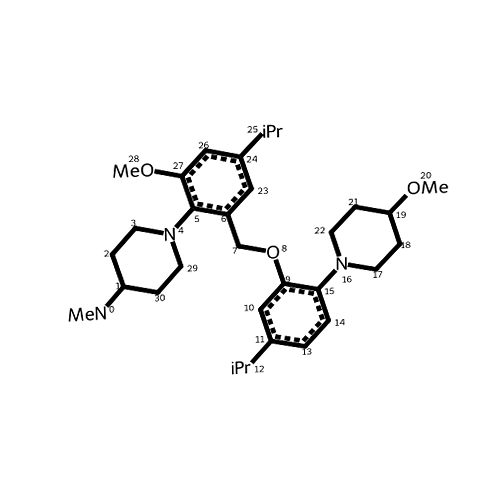 CNC1CCN(c2c(COc3cc(C(C)C)ccc3N3CCC(OC)CC3)cc(C(C)C)cc2OC)CC1